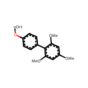 CCCCCCCCOc1ccc(-c2c(OC)cc(OC)cc2OC)cc1